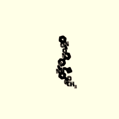 COC(=O)c1ccc2nc(CN3CCC(c4cccc(OCc5nc6ccccc6o5)n4)CC3)n(CC3CCC3)c2c1